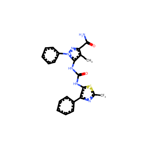 Cc1c(C(N)=O)nn(-c2ccccc2)c1NC(=O)Nc1sc(C(F)(F)F)nc1-c1ccccc1